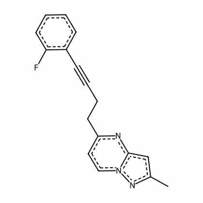 Cc1cc2nc(CCC#Cc3ccccc3F)ccn2n1